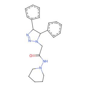 O=C(CN1N=NC(c2ccccc2)C1c1ccccc1)NN1CCCCC1